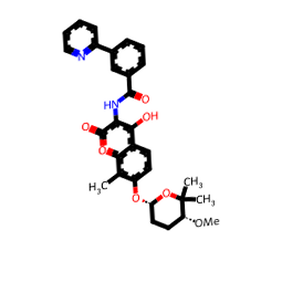 CO[C@@H]1CC[C@H](Oc2ccc3c(O)c(NC(=O)c4cccc(-c5ccccn5)c4)c(=O)oc3c2C)OC1(C)C